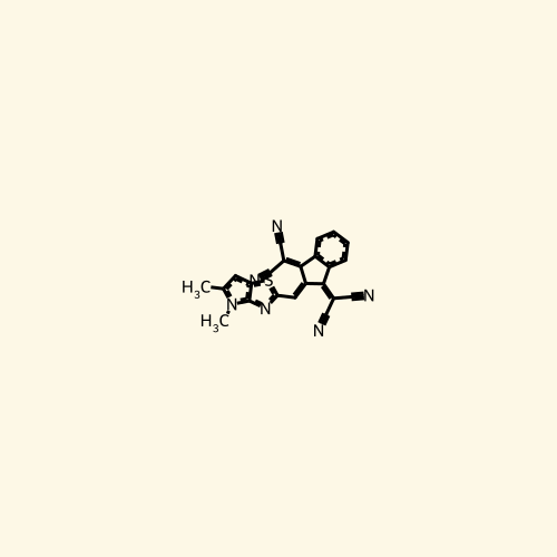 Cc1cc2sc(C=C3C(=C(C#N)C#N)c4ccccc4C3=C(C#N)C#N)nc2n1C